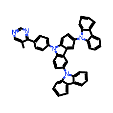 Cc1cncnc1-c1ccc(-n2c3ccc(-n4c5ccccc5c5ccccc54)cc3c3cc(-n4c5ccccc5c5ccccc54)ccc32)cc1